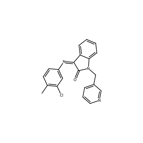 Cc1ccc(N=C2C(=O)N(Cc3cccnc3)c3ccccc32)cc1Cl